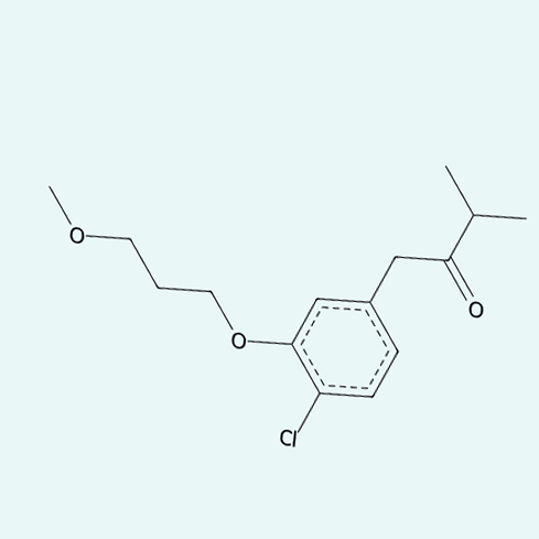 COCCCOc1cc(CC(=O)C(C)C)ccc1Cl